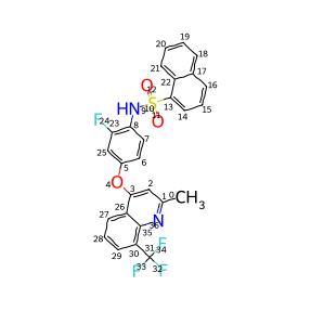 Cc1cc(Oc2ccc(NS(=O)(=O)c3cccc4ccccc34)c(F)c2)c2cccc(C(F)(F)F)c2n1